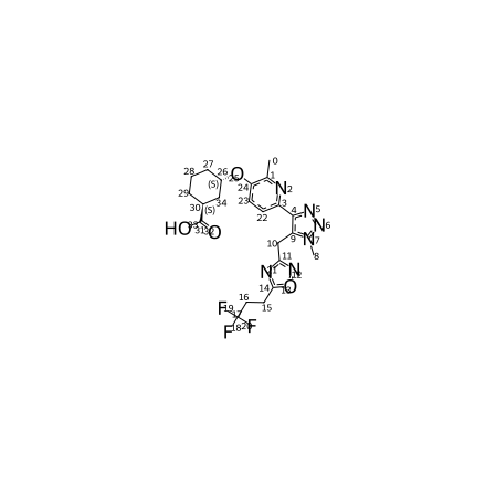 Cc1nc(-c2nnn(C)c2Cc2noc(CCC(F)(F)F)n2)ccc1O[C@H]1CCC[C@H](C(=O)O)C1